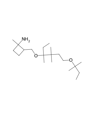 CCC(C)(C)OCCC(C)(C)C(C)(CC)OCC1CCC1(C)N